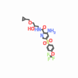 Nc1cc(S(=O)(=O)c2ccc(OC(F)(F)F)cc2)cnc1C(=O)NCC(O)COCC1CC1